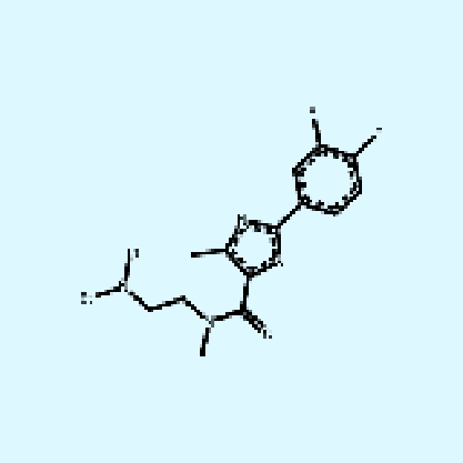 CCN(CC)CCN(C)C(=O)c1sc(-c2ccc(F)c(F)c2)nc1C